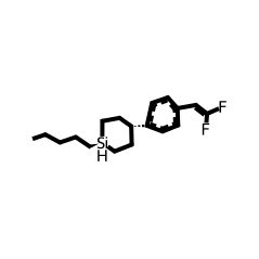 CCCCC[Si@H]1CC[C@H](c2ccc(C=C(F)F)cc2)CC1